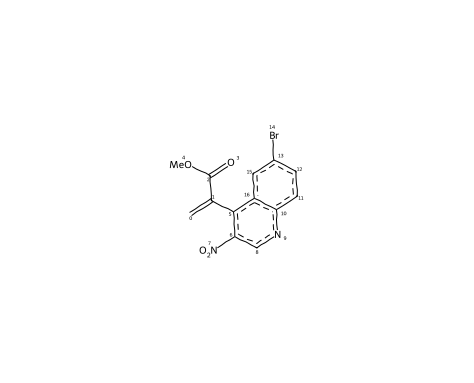 C=C(C(=O)OC)c1c([N+](=O)[O-])cnc2ccc(Br)cc12